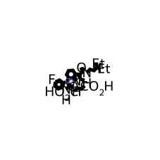 CCN(CC)CCNC(=O)c1c(C)[nH]c2c1CCC/C2=C1/C(=O)Nc2ccc(F)cc21.O=C(O)CCC(=O)O